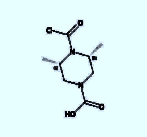 C[C@@H]1CN(C(=O)O)C[C@H](C)N1C(=O)Cl